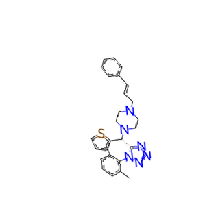 Cc1cccc(C)c1-n1nnnc1[C@H](c1cccs1)N1CCN(C/C=C/c2ccccc2)CC1